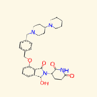 O=C1CCC(N2C(=O)c3c(OCc4ccc(CN5CCC(N6CCCCC6)CC5)cc4)cccc3C2O)C(=O)N1